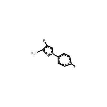 Cc1nn(-c2ccc(F)cc2)cc1F